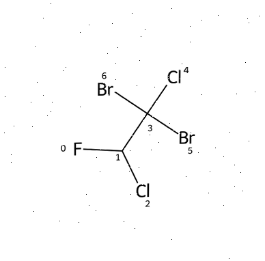 FC(Cl)C(Cl)(Br)Br